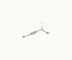 CC(C)C#CC(F)C(C)C